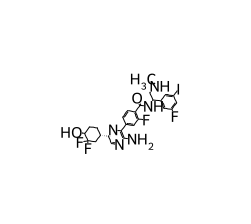 CNCC(NC(=O)c1ccc(-c2nc([C@H]3CC[C@H](O)C(F)(F)C3)cnc2N)cc1F)c1cc(F)cc(I)c1